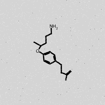 C=C(C)CCc1ccc(OC(C)CCCN)cc1